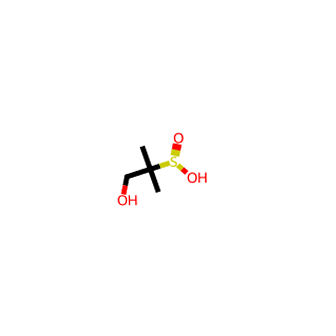 CC(C)(CO)S(=O)O